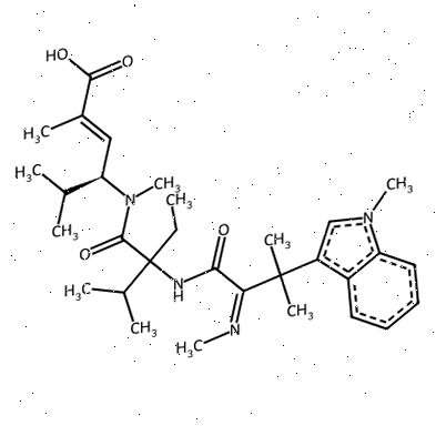 CCC(NC(=O)/C(=N\C)C(C)(C)c1cn(C)c2ccccc12)(C(=O)N(C)[C@H](/C=C(\C)C(=O)O)C(C)C)C(C)C